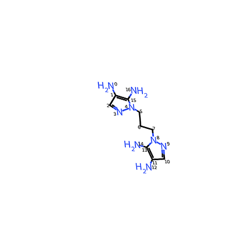 Nc1cnn(CCCn2ncc(N)c2N)c1N